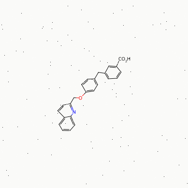 O=C(O)c1cccc(Cc2ccc(OCc3ccc4ccccc4n3)cc2)c1